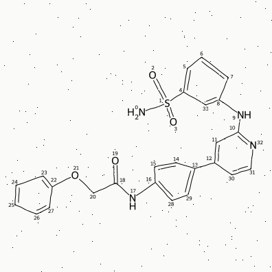 NS(=O)(=O)c1cccc(Nc2cc(-c3ccc(NC(=O)COc4ccccc4)cc3)ccn2)c1